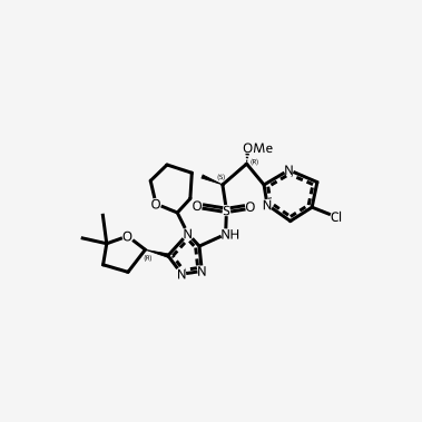 CO[C@H](c1ncc(Cl)cn1)[C@H](C)S(=O)(=O)Nc1nnc([C@H]2CCC(C)(C)O2)n1C1CCCCO1